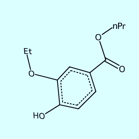 CCCOC(=O)c1ccc(O)c(OCC)c1